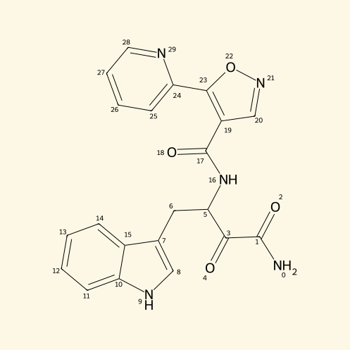 NC(=O)C(=O)C(Cc1c[nH]c2ccccc12)NC(=O)c1cnoc1-c1ccccn1